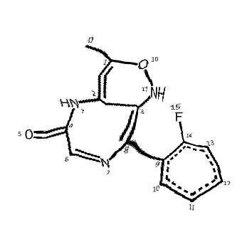 CC1=C2NC(=O)C=NC(c3ccccc3F)=C2NO1